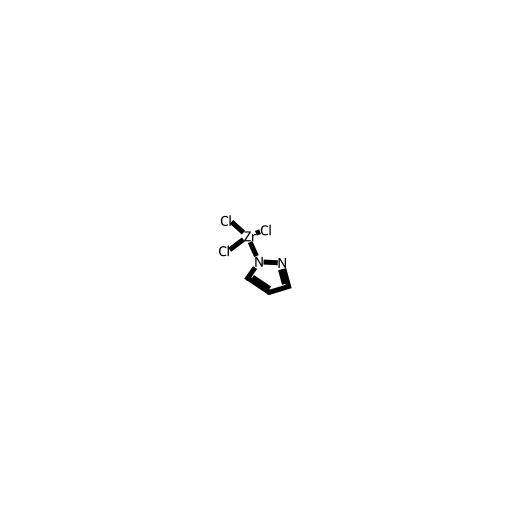 [Cl][Zr]([Cl])([Cl])[n]1cccn1